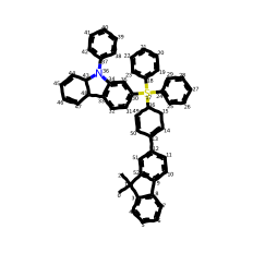 CC1(C)c2ccccc2-c2ccc(C3=CCC(S(c4ccccc4)(c4ccccc4)c4ccc5c(c4)N(c4ccccc4)C4C=CC=CC54)C=C3)cc21